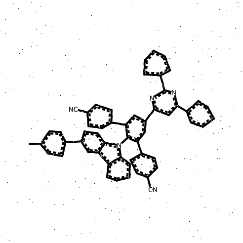 Cc1ccc(-c2ccc3c(c2)c2ccccc2n3-c2c(-c3ccc(C#N)cc3)cc(-c3cc(-c4ccccc4)nc(-c4ccccc4)n3)cc2-c2ccc(C#N)cc2)cc1